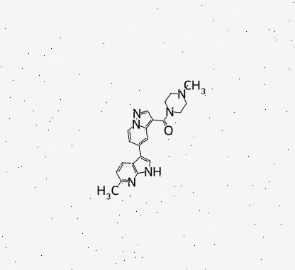 Cc1ccc2c(-c3ccn4ncc(C(=O)N5CCN(C)CC5)c4c3)c[nH]c2n1